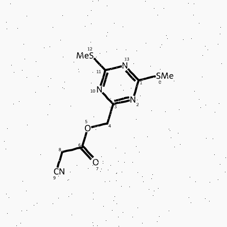 CSc1nc(COC(=O)CC#N)nc(SC)n1